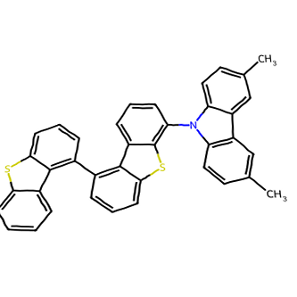 Cc1ccc2c(c1)c1cc(C)ccc1n2-c1cccc2c1sc1cccc(-c3cccc4sc5ccccc5c34)c12